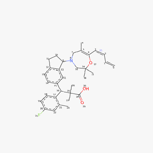 C=C/C=C\C1=C(C)CN(C2CCc3ccc(C(c4ccc(F)cc4C)C(C)(C)C(=O)O)cc32)CC(C)(C)O1